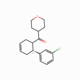 O=C(C1CCOCC1)C1CC=CC[C@@H]1c1cccc(Cl)c1